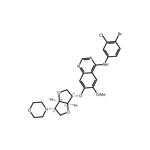 COc1cc2c(Nc3ccc(Br)c(Cl)c3)ncnc2cc1O[C@H]1CO[C@H]2[C@@H]1OC[C@@H]2N1CCOCC1